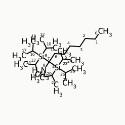 CCCCCCCC(N)([Si](C(C)C)(C(C)C)C(C)C)[Si](C(C)C)(C(C)C)C(C)C